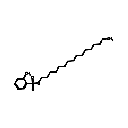 CCCCCCCCCCCCCCCCOS(=O)(=O)c1ccccc1C